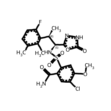 COc1cc(S(=O)(=O)N[C@H](c2n[nH]c(=O)o2)[C@H](C)c2c(F)ccc(C)c2C)c(C(N)=O)cc1Cl